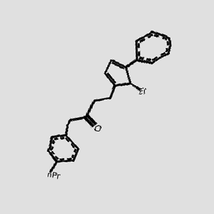 CCCc1ccc(CC(=O)CCC2=CC=C(c3ccccc3)C2CC)cc1